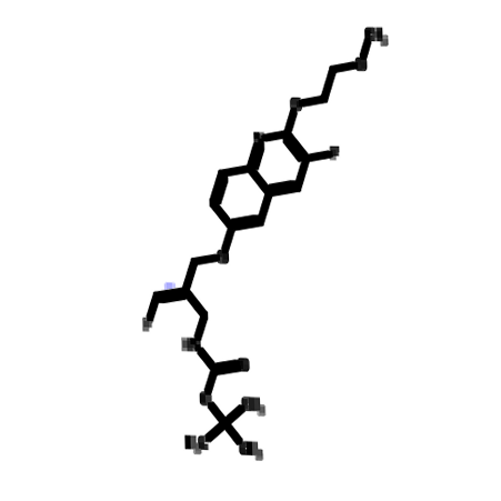 COCCOc1nc2ccc(OC/C(=C/F)CNC(=O)OC(C)(C)C)cc2cc1F